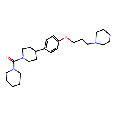 O=C(N1CCCCC1)N1CCC(c2ccc(OCCCN3CCCCC3)cc2)CC1